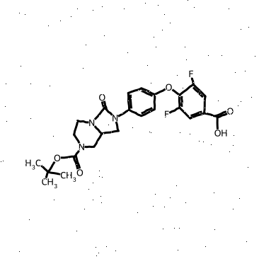 CC(C)(C)OC(=O)N1CCN2C(=O)N(c3ccc(Oc4c(F)cc(C(=O)O)cc4F)cc3)CC2C1